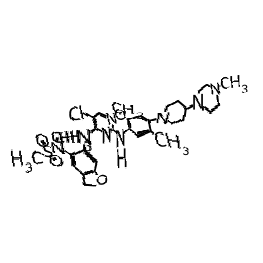 COc1cc(N2CCC(N3CCN(C)CC3)CC2)c(C)cc1Nc1ncc(Cl)c(Nc2cc3c(cc2N(C)S(C)(=O)=O)CCO3)n1